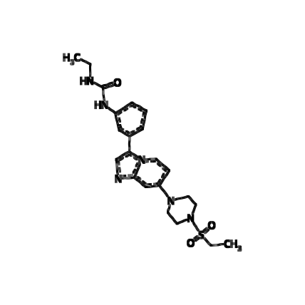 CCNC(=O)Nc1cccc(-c2cnc3cc(N4CCN(S(=O)(=O)CC)CC4)ccn23)c1